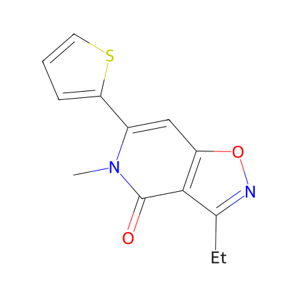 CCc1noc2cc(-c3cccs3)n(C)c(=O)c12